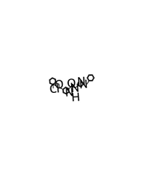 O=C(Nc1cnn(Cc2ccccc2)c1)c1cc(COc2ccccc2Cl)ccn1